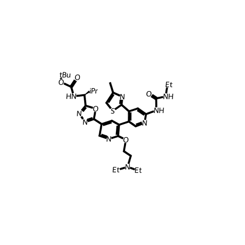 CCNC(=O)Nc1cc(-c2nc(C)cs2)c(-c2cc(-c3nnc([C@@H](NC(=O)OC(C)(C)C)C(C)C)o3)cnc2OCCN(CC)CC)cn1